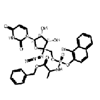 CC(NP(=O)(OC[C@@]1(N=[N+]=[N-])O[C@@H](n2ccc(=O)[nH]c2=O)[C@H](O)[C@@H]1O)Oc1ccc2ccccc2c1Br)C(=O)OCc1ccccc1